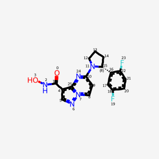 O=C(NO)c1cnn2ccc(N3CCC[C@@H]3c3cc(F)ccc3F)nc12